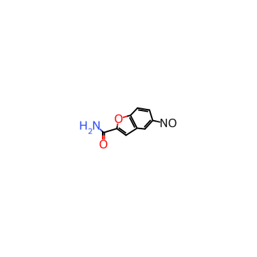 NC(=O)c1cc2cc(N=O)ccc2o1